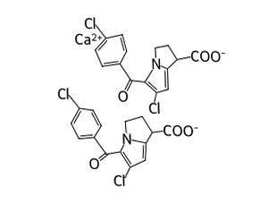 O=C(c1ccc(Cl)cc1)c1c(Cl)cc2n1CCC2C(=O)[O-].O=C(c1ccc(Cl)cc1)c1c(Cl)cc2n1CCC2C(=O)[O-].[Ca+2]